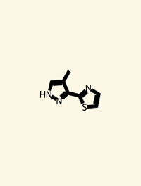 Cc1c[nH]nc1-c1nccs1